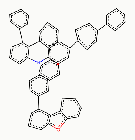 c1ccc(-c2ccc(-c3ccc(N(c4ccc(-c5cccc6oc7ccccc7c56)cc4)c4cccc(-c5ccccc5)c4-c4ccccc4-c4ccccc4)cc3)cc2)cc1